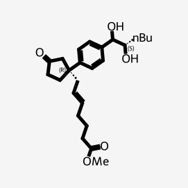 CCCC[C@H](O)C(O)c1ccc([C@@]2(CC=CCCCC(=O)OC)CCC(=O)C2)cc1